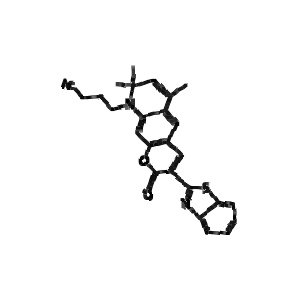 CC(=O)CCCN1c2cc3oc(=O)c(-c4nc5ccccc5s4)cc3cc2C(C)=CC1(C)C